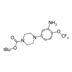 CC(C)(C)OC(=O)N1CCN(c2ccc(OC(F)(F)F)c(N)c2)CC1